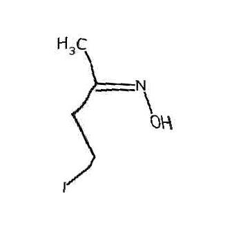 CC(CCI)=NO